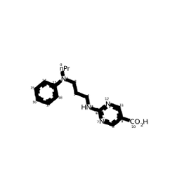 CCCN(CCCNc1ncc(C(=O)O)cn1)c1ccccc1